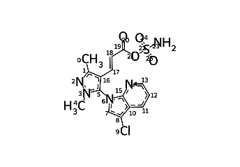 Cc1nn(C)c(-n2cc(Cl)c3cccnc32)c1C=CC(=O)OS(N)(=O)=O